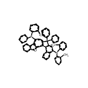 Cc1ccccc1N(c1ccccc1C)c1cc2c(c3ccccc13)-c1c(cc(N(c3ccccc3)c3ccccc3C)c3c1oc1ccccc13)C2(c1ccccc1)c1ccccc1